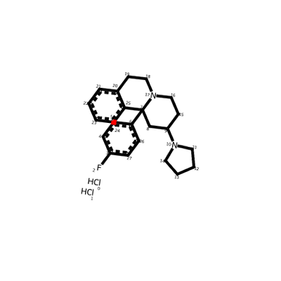 Cl.Cl.Fc1ccc(C23CC(N4CCCC4)CCN2CCc2ccccc23)cc1